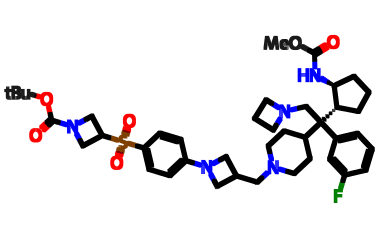 COC(=O)N[C@H]1CCC[C@@H]1C(CN1CCC1)(c1cccc(F)c1)C1CCN(CC2CN(c3ccc(S(=O)(=O)C4CN(C(=O)OC(C)(C)C)C4)cc3)C2)CC1